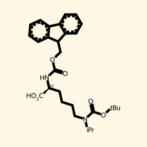 CC(C)N(CCCC[C@H](NC(=O)OCC1c2ccccc2-c2ccccc21)C(=O)O)C(=O)OC(C)(C)C